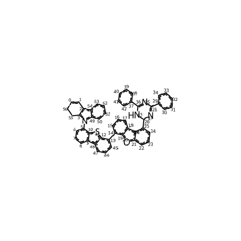 C1=Cc2c(n(-c3cccc4c3sc3c(-c5cccc6c5oc5cccc(C7N=C(c8ccccc8)N=C(c8ccccc8)N7)c56)cccc34)c3ccccc23)CC1